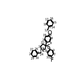 Fc1ccc(SC2(c3ccc(OCc4ccccc4)cc3)CCN(Cc3ccccc3)C2)cc1